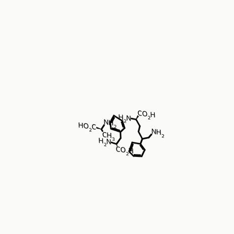 C[C@H](N)C(=O)O.NCC(CC[C@@H](N)C(=O)O)c1ccccc1.N[C@H](Cc1ccccc1)C(=O)O